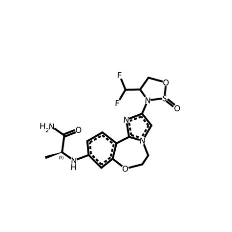 C[C@H](Nc1ccc2c(c1)OCCn1cc(N3C(C(F)F)COS3=O)nc1-2)C(N)=O